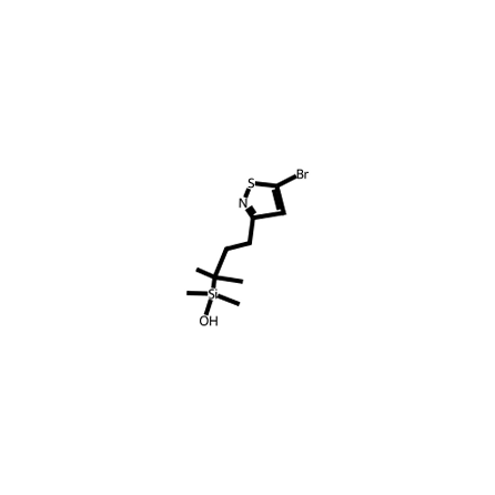 CC(C)(CCc1cc(Br)sn1)[Si](C)(C)O